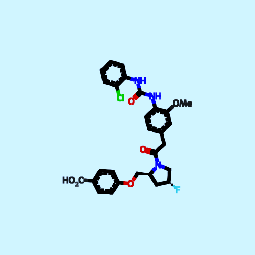 COc1cc(CC(=O)N2C[C@H](F)C[C@H]2COc2ccc(C(=O)O)cc2)ccc1NC(=O)Nc1ccccc1Cl